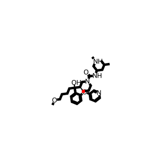 CNCC(CC(C)C)NC(=O)N1CCC[C@@H]([C@@](O)(CCCCOC)c2ccccc2Oc2cccnc2)C1